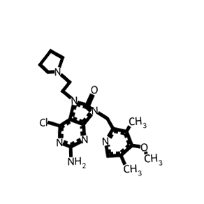 COc1c(C)cnc(Cn2c(=O)n(CCN3CCCC3)c3c(Cl)nc(N)nc32)c1C